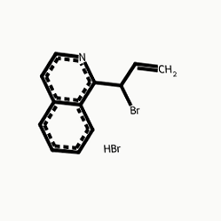 Br.C=CC(Br)c1nccc2ccccc12